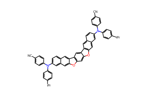 CC(C)c1ccc(N(c2ccc(C#N)cc2)c2ccc3cc4c(cc3c2)oc2cc3oc5cc6cc(N(c7ccc(C#N)cc7)c7ccc(C(C)C)cc7)ccc6cc5c3cc24)cc1